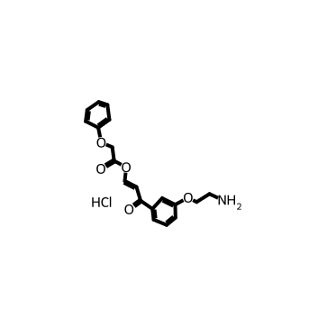 Cl.NCCOc1cccc(C(=O)C=COC(=O)COc2ccccc2)c1